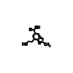 Cc1cn2cc(C(=O)O)cc(CCO)c2n1